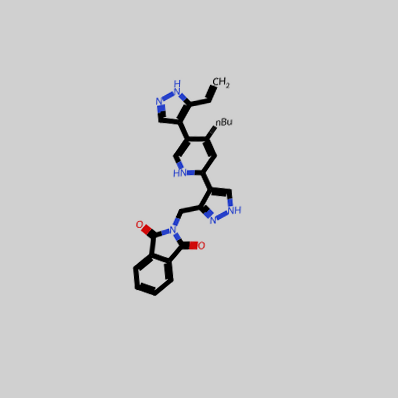 C=Cc1[nH]ncc1C1=CNC(c2c[nH]nc2CN2C(=O)c3ccccc3C2=O)C=C1CCCC